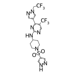 O=S(=O)(c1cn[nH]c1)N1CCC(Nc2ncc(C(F)(F)F)c(-c3cnn(CC(F)(F)F)c3)n2)CC1